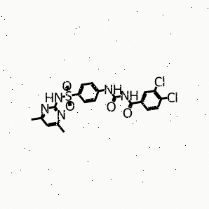 Cc1cc(C)nc(NS(=O)(=O)c2ccc(NC(=O)NC(=O)c3ccc(Cl)c(Cl)c3)cc2)n1